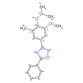 COc1cc(-c2noc(-c3ccccc3)n2)cc(C)c1OC(C)C